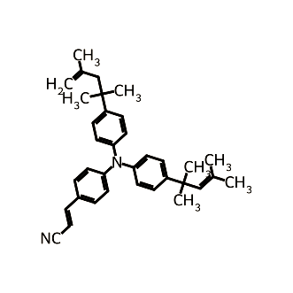 C=C(C)CC(C)(C)c1ccc(N(c2ccc(/C=C/C#N)cc2)c2ccc(C(C)(C)C=C(C)C)cc2)cc1